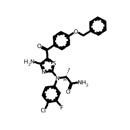 C[C@H](C(N)=O)N(c1ccc(Cl)c(F)c1)c1nc(N)c(C(=O)c2ccc(OCc3ccccc3)cc2)s1